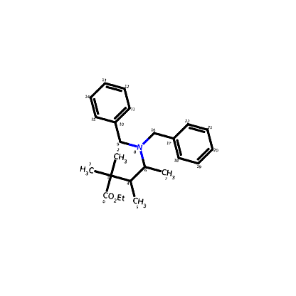 CCOC(=O)C(C)(C)C(C)C(C)N(Cc1ccccc1)Cc1ccccc1